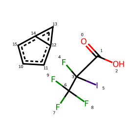 O=C(O)C(F)(I)C(F)(F)F.c1cc2cc-2c1